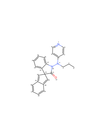 CCCN(c1ccncc1)N1C(=O)C2(C=c3ccccc3=C2)c2ccccc21